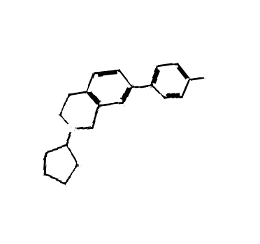 FC(F)(F)c1ccc(-c2ccc3c(c2)CN(C2CCCC2)CC3)cc1